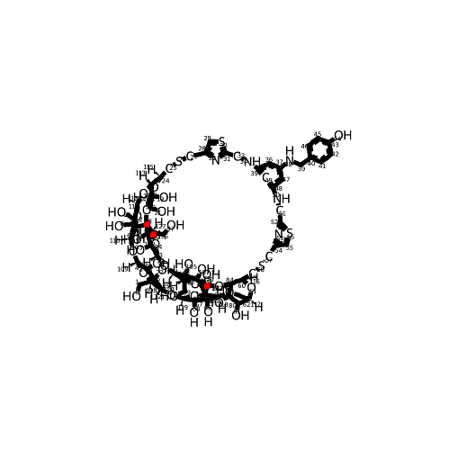 OC[C@H]1O[C@@H]2O[C@H]3C(O)C(O)[C@H](O[C@@H]3CO)O[C@H]3C(O)C(O)[C@@H]4O[C@@H]3CSCc3csc(n3)CNc3cc(NCc5ccc(O)cc5)cc(c3)NCc3nc(cs3)CSC[C@H]3O[C@H](O[C@H]5C(O)C(O)[C@H](O[C@@H]5CO)O[C@H]1C(O)C2O)C(O)C(O)[C@@H]3O[C@H]1O[C@H](CO)[C@@H](O[C@H]2O[C@H](CO)[C@@H](O4)C(O)C2O)C(O)C1O